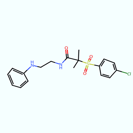 CC(C)(C(=O)NCCNc1ccccc1)S(=O)(=O)c1ccc(Cl)cc1